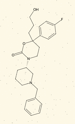 O=C1OC(CCCO)(c2ccc(F)cc2)CCN1[C@H]1CCCN(Cc2ccccc2)C1